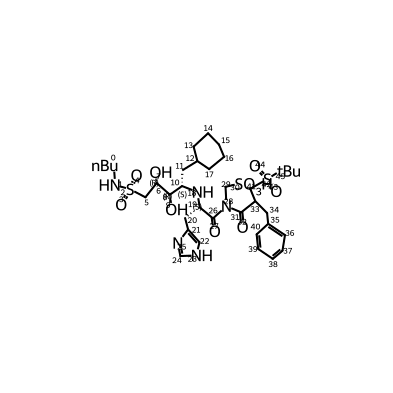 CCCCNS(=O)(=O)C[C@H](O)[C@H](O)[C@H](CC1CCCCC1)N[C@@H](Cc1c[nH]cn1)C(=O)N(CS(=O)(=O)O)C(=O)C(Cc1ccccc1)CS(=O)(=O)C(C)(C)C